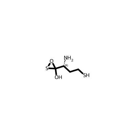 N[C@H](CCS)C1(O)OS1